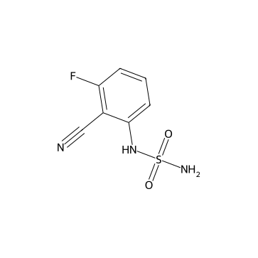 N#Cc1c(F)cccc1NS(N)(=O)=O